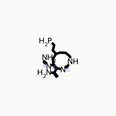 C=C(N)C1=C(\N=C/N)CC(CCP)CCCN/C=N\1